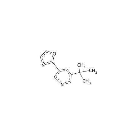 CC(C)(C)c1cncc(-c2ncco2)c1